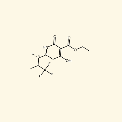 CCOC(=O)C1=C(O)CN([C@@H](C)C(C)C(F)(F)F)NC1=O